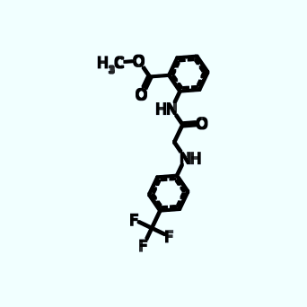 COC(=O)c1ccccc1NC(=O)CNc1ccc(C(F)(F)F)cc1